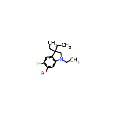 CCN1CC(CC)(CC)c2cc(F)c(Br)cc21